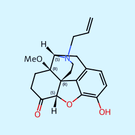 C=CCN1CC[C@@]23c4c5ccc(O)c4O[C@@H]2C(=O)CC[C@]3(OC)[C@@H]1C5